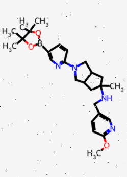 COc1ccc(CNC2(C)CC3CN(c4ccc(B5OC(C)(C)C(C)(C)O5)cn4)CC3C2)cn1